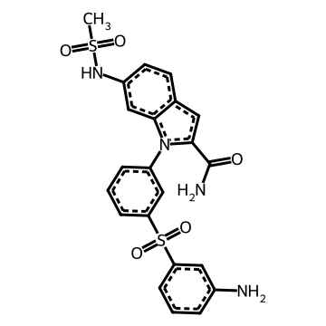 CS(=O)(=O)Nc1ccc2cc(C(N)=O)n(-c3cccc(S(=O)(=O)c4cccc(N)c4)c3)c2c1